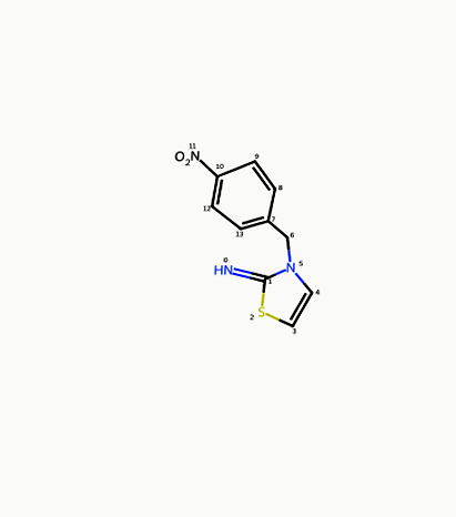 N=c1sccn1Cc1ccc([N+](=O)[O-])cc1